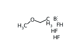 CCOC.F.F.F.[B]